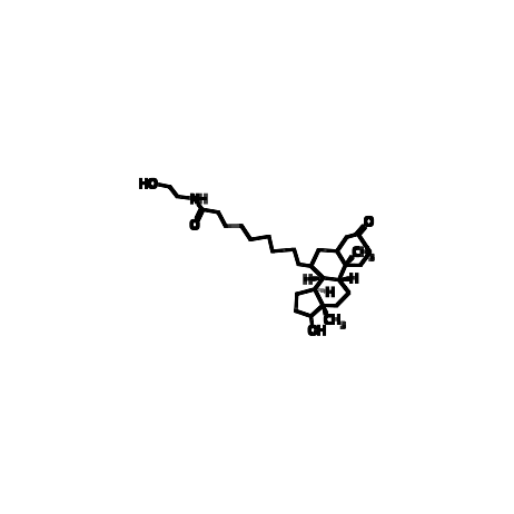 C[C@]12CCC(=O)CC1CC(CCCCCCCCC(=O)NCCO)[C@@H]1[C@H]2CC[C@]2(C)C(O)CC[C@@H]12